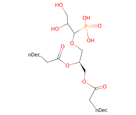 CCCCCCCCCCCC(=O)OC[C@H](COC(C(O)CO)P(=O)(O)O)OC(=O)CCCCCCCCCCC